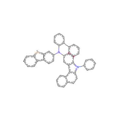 c1ccc(-c2ccccc2N(c2ccc3c(c2)sc2ccccc23)c2ccc3c(c2)c2c4ccccc4ccc2n3-c2ccccc2)cc1